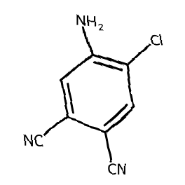 N#Cc1cc(N)c(Cl)cc1C#N